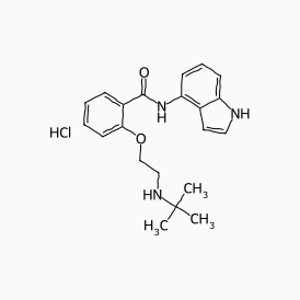 CC(C)(C)NCCOc1ccccc1C(=O)Nc1cccc2[nH]ccc12.Cl